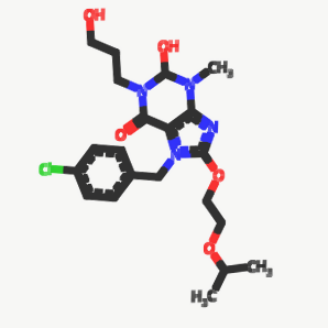 CC(C)OCCOc1nc2c(n1Cc1ccc(Cl)cc1)C(=O)N(CCCO)C(O)N2C